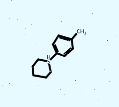 Cc1ccc([SH]2CCCCC2)cc1